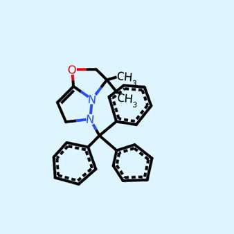 CC1(C)COC2=CCN(C(c3ccccc3)(c3ccccc3)c3ccccc3)N21